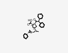 CN(C[C@@H]1C[C@H]1c1ccccc1)[C@H]1C[C@@H](C(=O)O)N(C(=O)C(c2ccccc2)c2ccccc2)C1